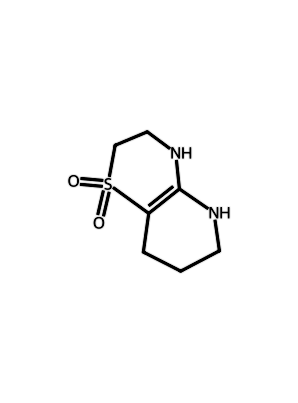 O=S1(=O)CCNC2=C1CCCN2